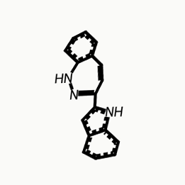 C1=Cc2ccccc2NN=C1c1cc2ccccc2[nH]1